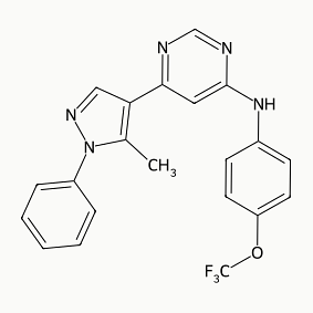 Cc1c(-c2cc(Nc3ccc(OC(F)(F)F)cc3)ncn2)cnn1-c1ccccc1